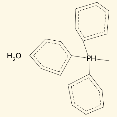 C[PH](c1ccccc1)(c1ccccc1)c1ccccc1.O